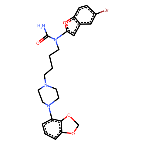 NC(=O)N(CCCCN1CCN(c2cccc3c2OCO3)CC1)c1cc2cc(Br)ccc2o1